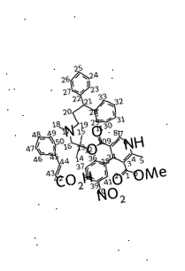 COC(=O)C1=C(C)NC(C)=C(C(=O)OC(C)(C)CN(C)CCC(c2ccccc2)c2ccccc2)C1c1cccc([N+](=O)[O-])c1.O=C(O)/C=C/c1ccccc1